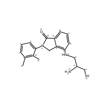 Cc1cccc(N2Cc3c(NCC(N)CS)cccc3C2=O)c1C